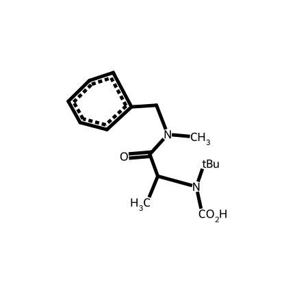 CC(C(=O)N(C)Cc1ccccc1)N(C(=O)O)C(C)(C)C